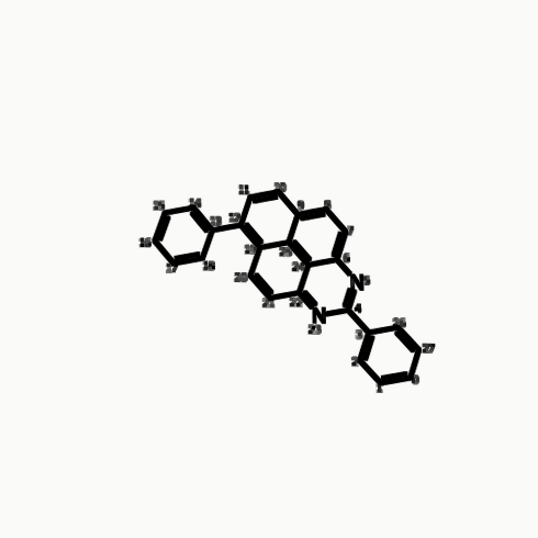 c1ccc(-c2nc3ccc4ccc(-c5ccccc5)c5ccc(n2)c3c45)cc1